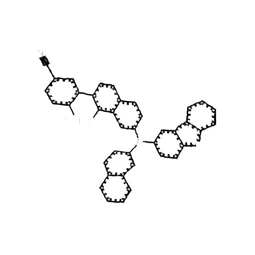 Cc1ccc(C#N)cc1-c1ccc2ccc(N(c3ccc4ccccc4c3)c3ccc4sc5ccccc5c4c3)cc2c1C